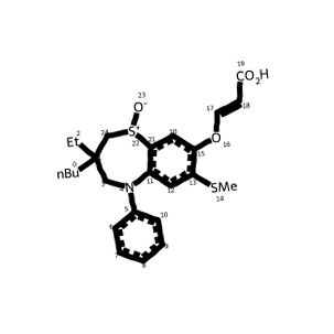 CCCCC1(CC)CN(c2ccccc2)c2cc(SC)c(O/C=C/C(=O)O)cc2[S+]([O-])C1